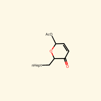 CCCCCCCCC1OC(OC(C)=O)C=CC1=O